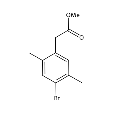 COC(=O)Cc1cc(C)c(Br)cc1C